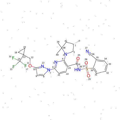 C[C@@H]1CN(c2nc(-n3ccc(OCC4(C(F)(F)F)CC4)n3)ccc2C(=O)NS(=O)(=O)c2ccccc2C#N)C(C)(C)C1